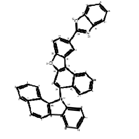 c1ccc2c(c1)ccc1c3ccccc3n(-c3cc4oc5ccc(-c6nc7ccccc7o6)cc5c4c4ccccc34)c21